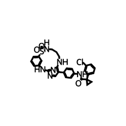 O=C(Nc1ccc(-c2cnc3nc2NCCCNS(=O)(=O)c2cccc(c2)N3)cc1)C1(c2cccc(Cl)c2)CC1